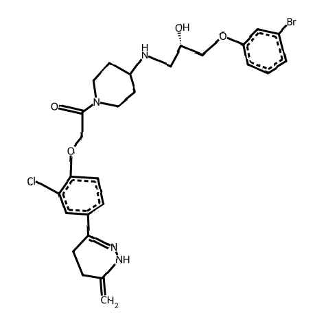 C=C1CCC(c2ccc(OCC(=O)N3CCC(NC[C@H](O)COc4cccc(Br)c4)CC3)c(Cl)c2)=NN1